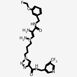 N/C(=C\N(N)CCCCn1cc(C(=O)NCc2cncc(C(F)(F)F)c2)nn1)C(=O)NCc1cccc(OCF)c1